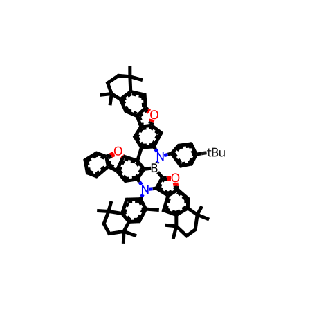 Cc1cc2c(cc1N1c3cc4c(oc5ccccc54)c4c3B(c3oc5cc6c(cc5c31)C(C)(C)CCC6(C)C)N(c1ccc(C(C)(C)C)cc1)c1cc3oc5cc6c(cc5c3cc1-4)C(C)(C)CCC6(C)C)C(C)(C)CCC2(C)C